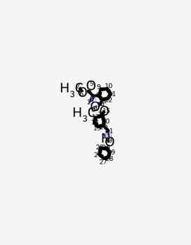 CO/C=C(/C(=O)OC)c1ccccc1COc1cccc(/C=N/Oc2ccccc2)c1